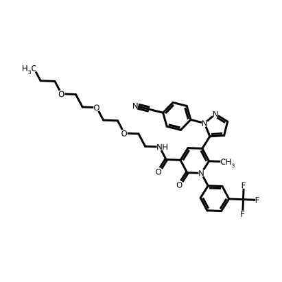 CCCOCCOCCOCCNC(=O)c1cc(-c2ccnn2-c2ccc(C#N)cc2)c(C)n(-c2cccc(C(F)(F)F)c2)c1=O